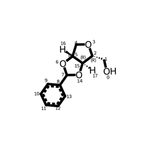 OC[C@H]1OC[C@H]2OC(c3ccccc3)O[C@H]12